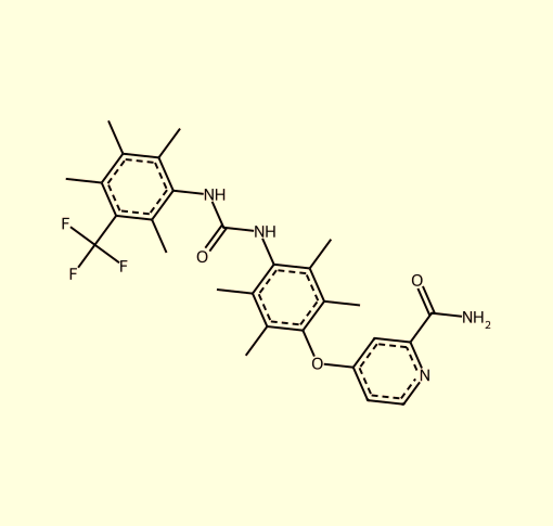 Cc1c(C)c(NC(=O)Nc2c(C)c(C)c(Oc3ccnc(C(N)=O)c3)c(C)c2C)c(C)c(C(F)(F)F)c1C